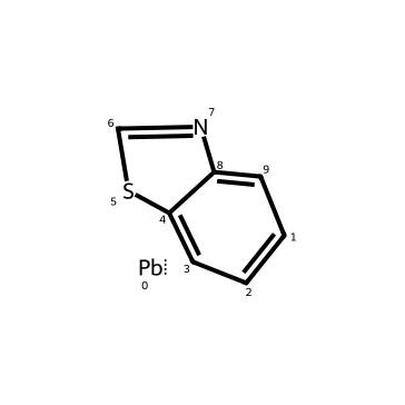 [Pb].c1ccc2scnc2c1